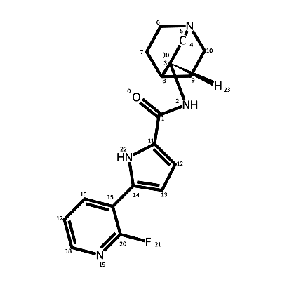 O=C(N[C@H]1CN2CCC1CC2)c1ccc(-c2cccnc2F)[nH]1